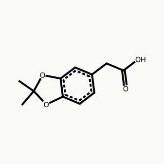 CC1(C)Oc2ccc(CC(=O)O)cc2O1